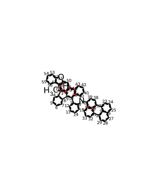 CC1(C)c2ccccc2-c2c(-c3ccccc3N(c3ccc(-c4cccc5cccc(-c6ccccc6)c45)cc3)c3cccc(-c4ccc5c(c4)oc4ccccc45)c3)cccc21